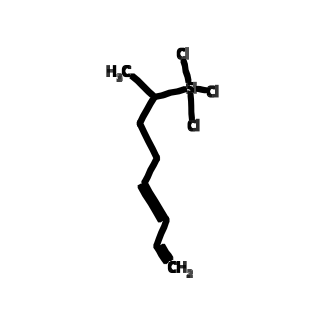 C=CC=CCCC(C)[Si](Cl)(Cl)Cl